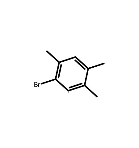 Cc1[c]c(Br)c(C)cc1C